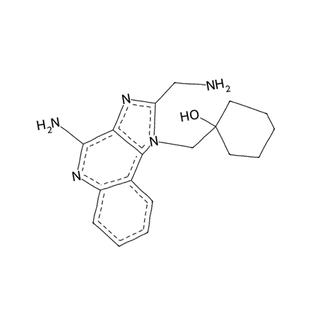 NCc1nc2c(N)nc3ccccc3c2n1CC1(O)CCCCC1